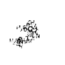 COc1cc2ncc(C#N)c(N3CCC[C@H](CCNS(N)(=O)=O)CC3)c2cc1OC